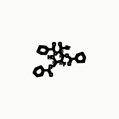 O=C(OC[C@@H](O)[C@@H](F)[C@H](OC(=O)c1ccccc1)[C@@H](OC(=O)c1ccccc1)C(=O)Br)c1ccccc1